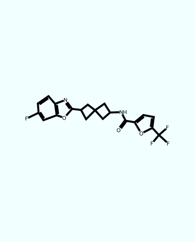 O=C(NC1CC2(C1)CC(c1nc3ccc(F)cc3o1)C2)c1ccc(C(F)(F)F)o1